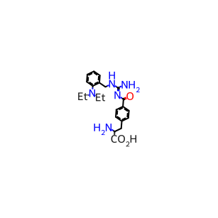 CCN(CC)c1ccccc1CNC(N)=NC(=O)c1ccc(CC(N)C(=O)O)cc1